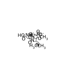 COc1c([N+](=O)[O-])cc([N+](=O)[O-])c2c1C(CN(C)C)CN2C(=O)CCC(N)C(=O)O